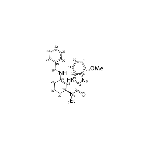 CCN(C(=O)c1nc2c(OC)cccc2[nH]1)[C@@H]1C=C(NCc2ccccc2)CCC1